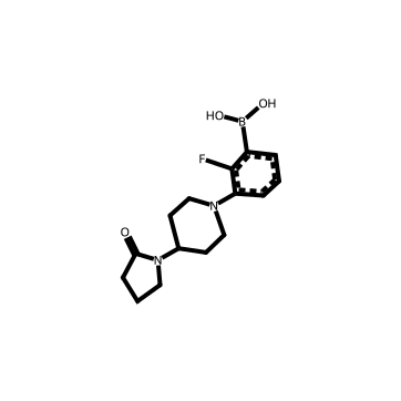 O=C1CCCN1C1CCN(c2cccc(B(O)O)c2F)CC1